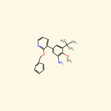 COc1c(N)cc(-c2cccnc2OCc2ccccc2)cc1C(C)(C)C